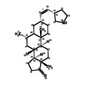 C[C@H]1C[C@@H]2[C@H](CC[C@]3(C)C(=O)CC[C@@H]23)[C@@]2(C)CC[C@@H](/C=C\[C@@H]3CCNC3)CC12